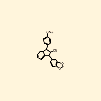 COc1ccc(C2c3ccccc3C(c3ccc4c(c3)OCO4)C2C#N)cc1